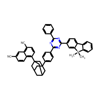 C[Si]1(C)c2ccccc2-c2ccc(-c3nc(-c4ccccc4)nc(-c4ccc(C56CC7CC(C5)CC(c5ccc(C#N)c8cc(C#N)ccc58)(C7)C6)cc4)n3)cc21